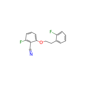 N#Cc1c(F)cccc1OCCc1ccccc1F